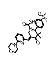 CC1(C)C(=O)/C(=C/c2cccc(N3CCOCC3)n2)CN(C(=O)S)C1c1ccc(S(C)(=O)=O)cc1